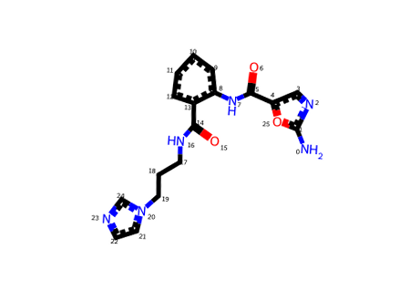 Nc1ncc(C(=O)Nc2ccccc2C(=O)NCCCn2ccnc2)o1